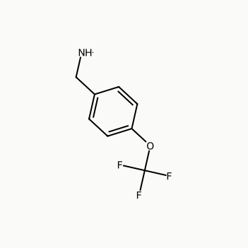 [NH]Cc1ccc(OC(F)(F)F)cc1